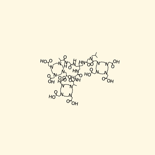 CC(C)CN(CC(=O)NCC(C)(CNC(=O)CNC(=O)C(C)N1CCN(CC(=O)O)CCN(CC(=O)O)CCN(CC(=O)O)CC1)CNC(=O)CNC(=O)C(C)N1CCN(CC(=O)O)CCN(CC(=O)O)CCN(CC(=O)O)CC1)C(=O)CN1CCN(CC(=O)O)CCN(CC(=O)O)CCN(CC(=O)O)CC1